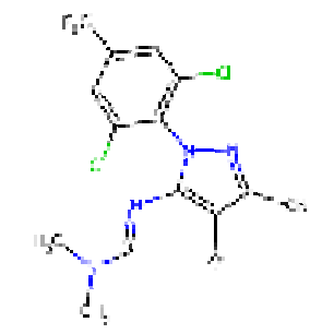 CN(C)C=Nc1[c]([Zn][I])c(C#N)nn1-c1c(Cl)cc(C(F)(F)F)cc1Cl